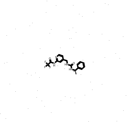 C[C@@H](NC(=O)NCc1ccnc(NC(=O)C(F)(F)F)c1)c1ccccc1